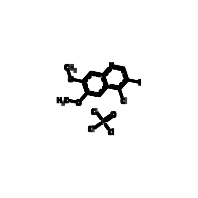 COc1cc2ncc(I)c(Cl)c2cc1OC.O=P(Cl)(Cl)Cl